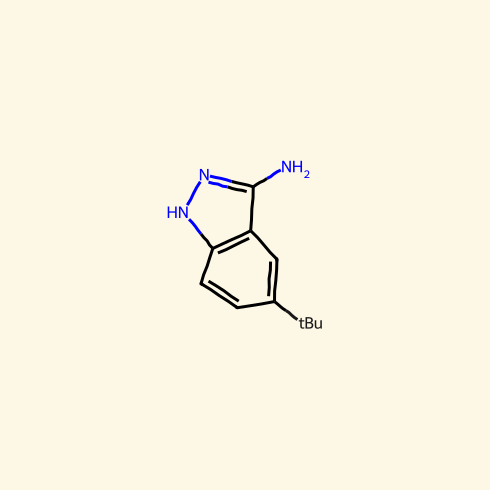 CC(C)(C)c1ccc2[nH]nc(N)c2c1